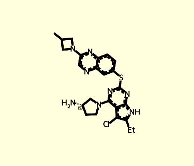 CCc1[nH]c2nc(Sc3ccc4nc(N5CC(C)C5)cnc4c3)nc(N3CC[C@H](N)C3)c2c1Cl